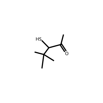 CC(=O)C(S)C(C)(C)C